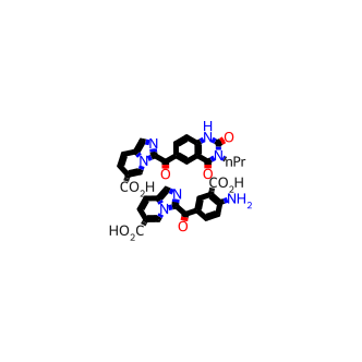 CCCn1c(=O)[nH]c2ccc(C(=O)c3ncc4ccc(C(=O)O)cn34)cc2c1=O.Nc1ccc(C(=O)c2ncc3ccc(C(=O)O)cn23)cc1C(=O)O